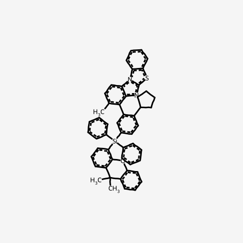 Cc1ccc2c(nc3sc4ccccc4n32)c1-c1cc([Si](c2ccccc2)(c2ccccc2)c2cccc3c2Oc2ccccc2C3(C)C)ccc1C1CCCC1